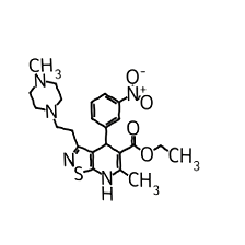 CCOC(=O)C1=C(C)Nc2snc(CCN3CCN(C)CC3)c2C1c1cccc([N+](=O)[O-])c1